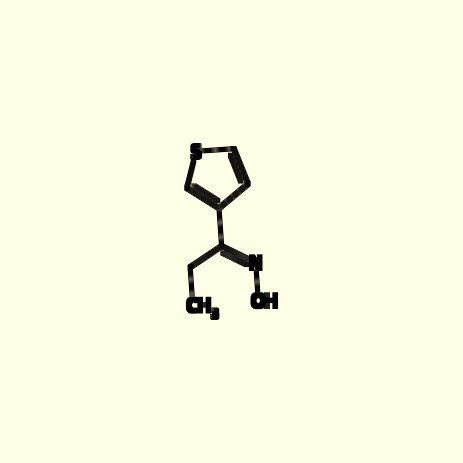 CCC(=NO)c1ccsc1